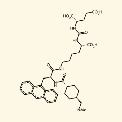 CNC[C@H]1CC[C@H](C(=O)N[C@@H](Cc2c3ccccc3cc3ccccc23)C(=O)NCCCC[C@H](NC(=O)N[C@@H](CCC(=O)O)C(=O)O)C(=O)O)CC1